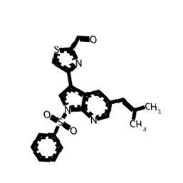 CC(C)=Cc1cnc2c(c1)c(-c1csc(C=O)n1)cn2S(=O)(=O)c1ccccc1